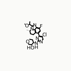 COC(C)c1nc2c(F)cc(-c3nc(N[C@@H]4CCOC[C@H]4O)ncc3Cl)c3c2n1[C@@H](C)CC3